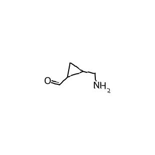 NCC1CC1C=O